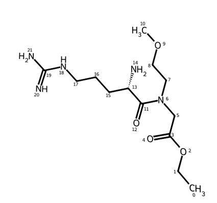 CCOC(=O)CN(CCOC)C(=O)[C@@H](N)CCCNC(=N)N